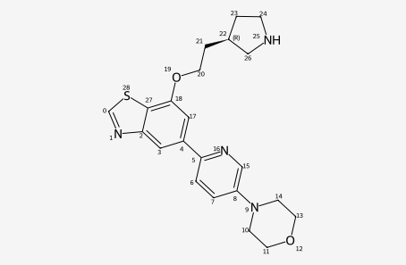 c1nc2cc(-c3ccc(N4CCOCC4)cn3)cc(OCC[C@H]3CCNC3)c2s1